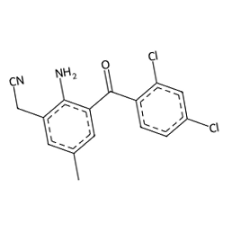 Cc1cc(CC#N)c(N)c(C(=O)c2ccc(Cl)cc2Cl)c1